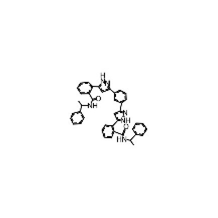 CC(NC(=O)c1ccccc1-c1cc(-c2cccc(-c3cc(-c4ccccc4C(=O)NC(C)c4ccccc4)[nH]n3)c2)n[nH]1)c1ccccc1